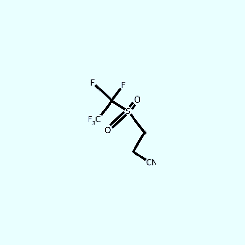 N#CCCS(=O)(=O)C(F)(F)C(F)(F)F